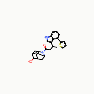 CC(CC(=O)N1C2CC3CC1CC(C2)C3O)c1c[nH]c2cccc(-c3cccs3)c12